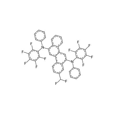 Fc1c(F)c(F)c(N(c2ccccc2)c2cc3c4ccc(C(F)F)cc4c(N(c4ccccc4)c4c(F)c(F)c(F)c(F)c4F)cc3c3ccccc23)c(F)c1F